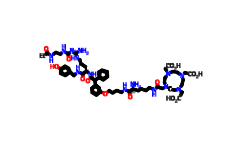 CCC(=O)NCCNC(=O)/N=C(/N)NCCC[C@@H](NC(=O)C(c1ccccc1)c1cccc(OCCCCNC(=O)[C@H](N)CCCCNC(=O)CN2CCN(CC(=O)O)CCN(CC(=O)O)CCN(CC(=O)O)CC2)c1)C(=O)NCc1ccc(O)cc1